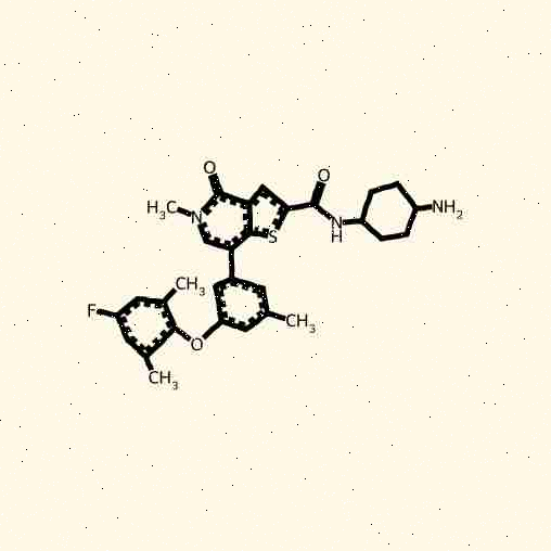 Cc1cc(Oc2c(C)cc(F)cc2C)cc(-c2cn(C)c(=O)c3cc(C(=O)NC4CCC(N)CC4)sc23)c1